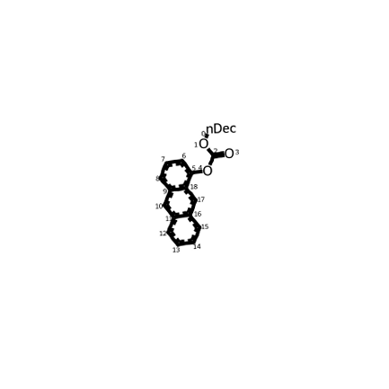 CCCCCCCCCCOC(=O)Oc1cccc2cc3ccccc3cc12